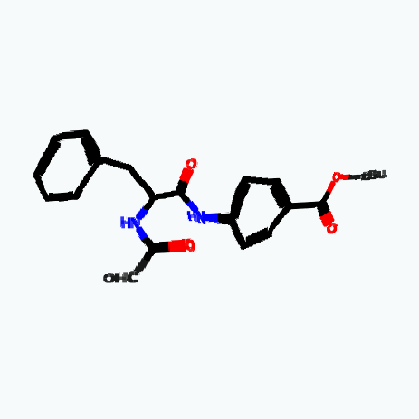 CC(C)(C)OC(=O)c1ccc(NC(=O)C(Cc2ccccc2)NC(=O)C=O)cc1